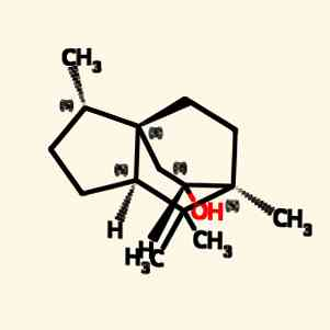 C[C@H]1CC[C@@H]2C(C)(C)[C@]3(C)CC[C@@]21C[C@H]3O